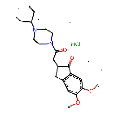 CCC(CC)N1CCN(C(=O)CC2Cc3cc(OC)c(OC)cc3C2=O)CC1.Cl